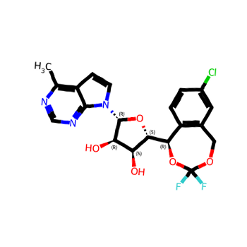 Cc1ncnc2c1ccn2[C@@H]1O[C@H]([C@@H]2OC(F)(F)OCc3cc(Cl)ccc32)[C@@H](O)[C@H]1O